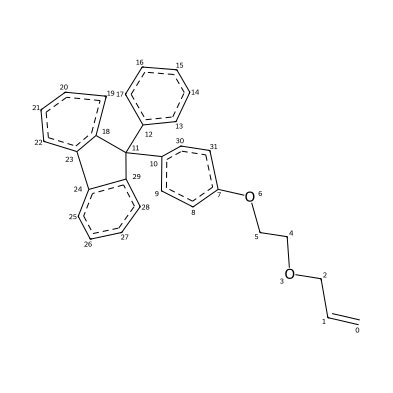 C=CCOCCOc1ccc(C2(c3ccccc3)c3ccccc3-c3ccccc32)cc1